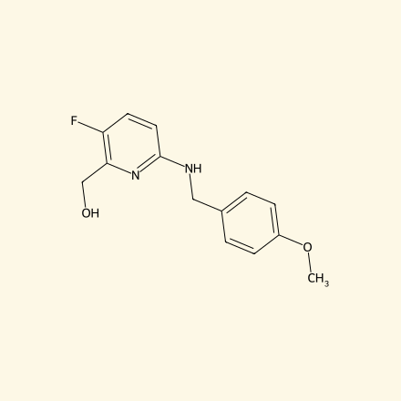 COc1ccc(CNc2ccc(F)c(CO)n2)cc1